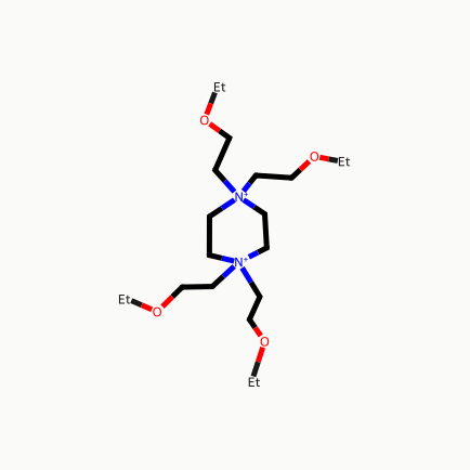 CCOCC[N+]1(CCOCC)CC[N+](CCOCC)(CCOCC)CC1